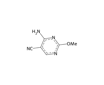 COc1ncc(C#N)c(N)n1